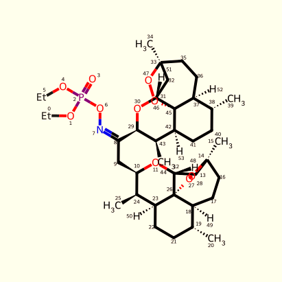 CCOP(=O)(OCC)O/N=C(/C[C@H]1O[C@@H]2C[C@]3(C)CC[C@H]4[C@H](C)CC[C@@H]([C@H]1C)[C@@]24OO3)[C@H]1O[C@@H]2C[C@]3(C)CC[C@H]4[C@H](C)CC[C@@H]([C@H]1C)[C@@]24OO3